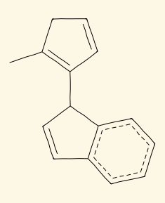 CC1=C(C2C=Cc3ccccc32)C=CC1